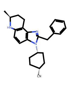 C[C@H]1CCc2c(ccc3c2nc(Cc2ccccc2)n3[C@H]2CC[C@@H](C#N)CC2)N1